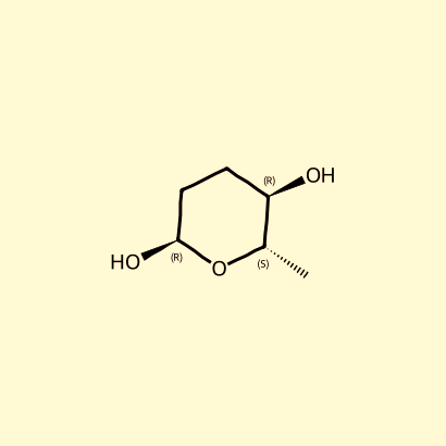 C[C@@H]1O[C@@H](O)CC[C@H]1O